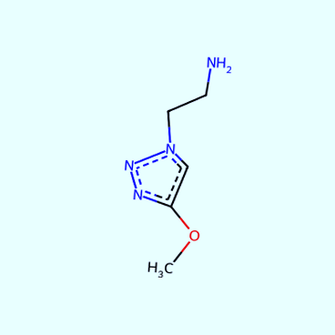 COc1cn(CCN)nn1